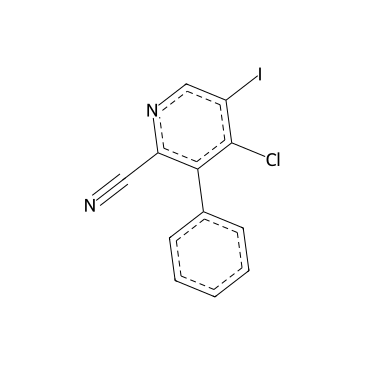 N#Cc1ncc(I)c(Cl)c1-c1ccccc1